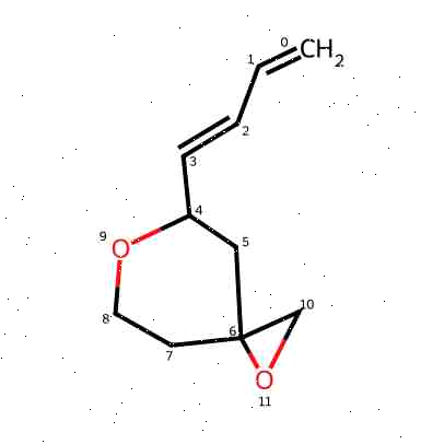 C=CC=CC1CC2(CCO1)CO2